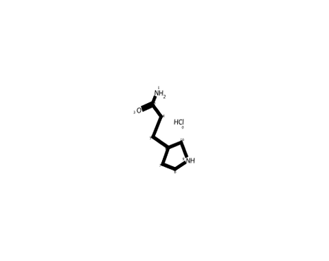 Cl.NC(=O)CCC1CCNC1